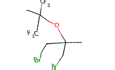 CC(CBr)(CBr)OC(C)(C(F)(F)F)C(F)(F)F